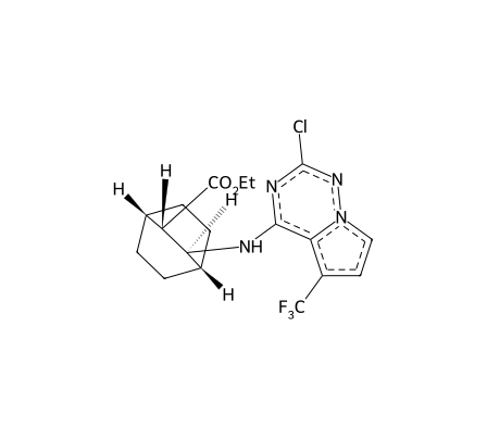 CCOC(=O)[C@H]1[C@H]2CC[C@H](CC2)[C@@H]1Nc1nc(Cl)nn2ccc(C(F)(F)F)c12